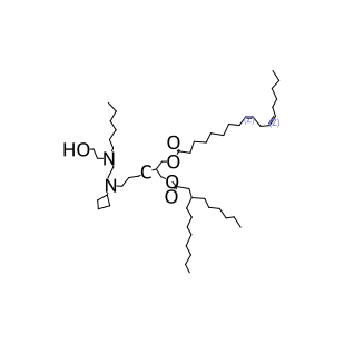 CCCCC/C=C\C/C=C\CCCCCCCC(=O)OCC(CCCCN(CCN(CCO)CCCCCC)C1CCC1)COC(=O)CC(CCCCCC)CCCCCCCC